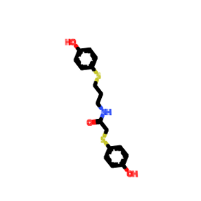 O=C(CSc1ccc(O)cc1)NCCCSc1ccc(O)cc1